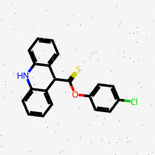 S=C(Oc1ccc(Cl)cc1)C1c2ccccc2Nc2ccccc21